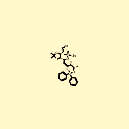 C[C@H](/C=C\C(O[Si](C)(C)C(C)(C)C)[C@H]1OC(C)(C)O[C@H]1CCO)[C@H](C)O[Si](c1ccccc1)(c1ccccc1)C(C)(C)C